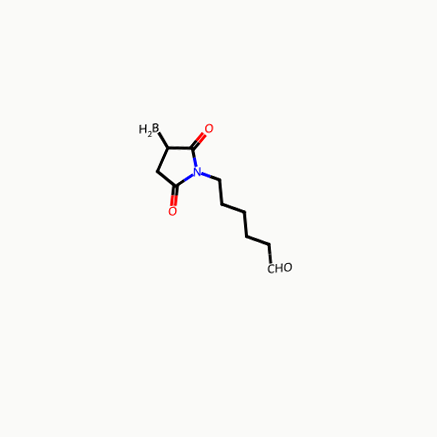 BC1CC(=O)N(CCCCCC=O)C1=O